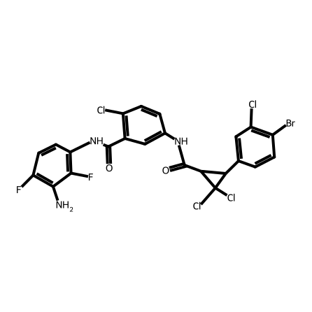 Nc1c(F)ccc(NC(=O)c2cc(NC(=O)C3C(c4ccc(Br)c(Cl)c4)C3(Cl)Cl)ccc2Cl)c1F